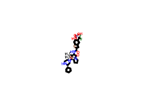 CC(C)(C)C(NC(=O)c1cc2cc(C(F)(F)P(=O)(O)O)ccc2s1)C(=O)N1CCC[C@H]1C(=O)N1CCN[C@@H](c2ccccc2)C1